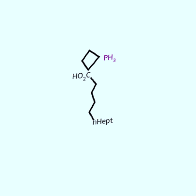 C1CCC1.CCCCCCCCCCCC(=O)O.P